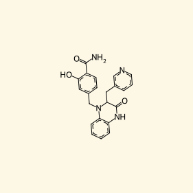 NC(=O)c1ccc(CN2c3ccccc3NC(=O)C2Cc2cccnc2)cc1O